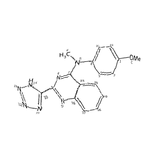 COc1ccc(N(C)c2nc(-c3nnn[nH]3)nc3ccccc23)cc1